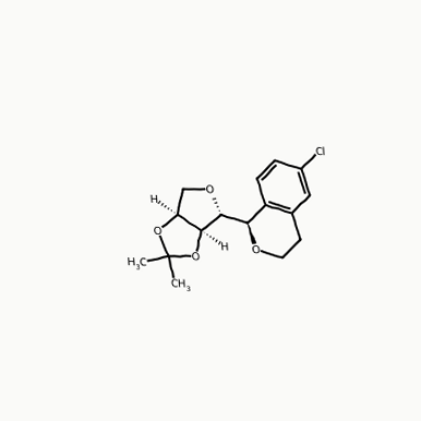 CC1(C)O[C@@H]2[C@@H]([C@@H]3OCCc4cc(Cl)ccc43)OC[C@@H]2O1